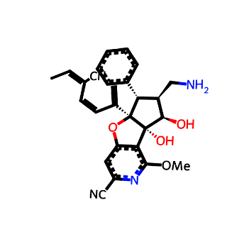 C=C(/C=C\C(C#N)=C/C)[C@@]12Oc3cc(C#N)nc(OC)c3[C@]1(O)[C@H](O)[C@H](CN)[C@H]2c1ccccc1